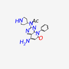 CC(=O)N(c1ncc2c(N)cc(=O)n(-c3ccccc3)c2n1)C1CCNCC1